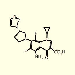 Nc1c(F)c(N2CC[C@H](n3ccnn3)C2)c(F)c2c1c(=O)c(C(=O)O)cn2C1CC1